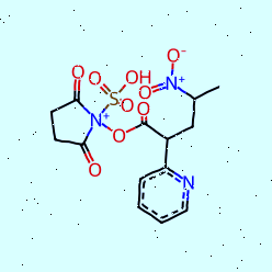 CC(CC(C(=O)O[N+]1(S(=O)(=O)O)C(=O)CCC1=O)c1ccccn1)[N+](=O)[O-]